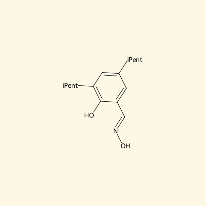 CCCC(C)c1cc(C=NO)c(O)c(C(C)CCC)c1